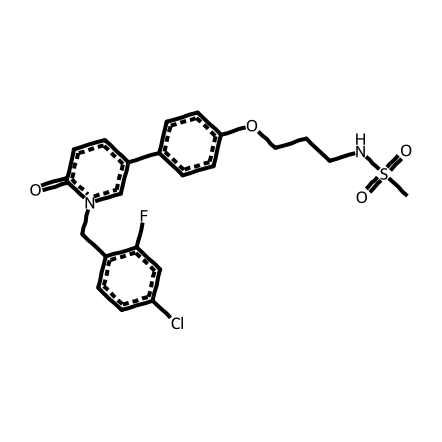 CS(=O)(=O)NCCCOc1ccc(-c2ccc(=O)n(Cc3ccc(Cl)cc3F)c2)cc1